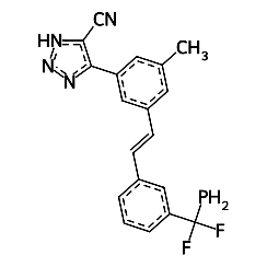 Cc1cc(/C=C/c2cccc(C(F)(F)P)c2)cc(-c2nn[nH]c2C#N)c1